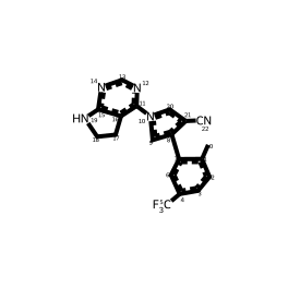 Cc1ccc(C(F)(F)F)cc1-c1cn(-c2ncnc3c2CCN3)cc1C#N